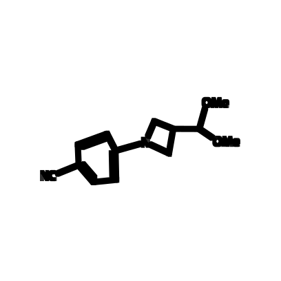 COC(OC)C1CN(c2ccc(C#N)cc2)C1